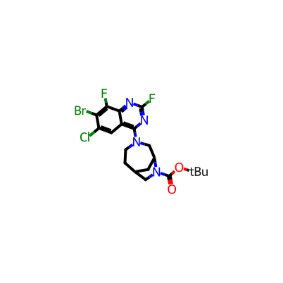 CC(C)(C)OC(=O)N1CC2CCN(c3nc(F)nc4c(F)c(Br)c(Cl)cc34)CC1C2